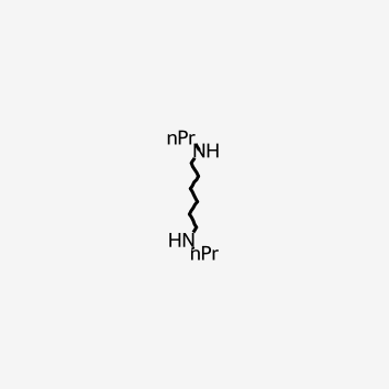 CCCNCCCCCCNCCC